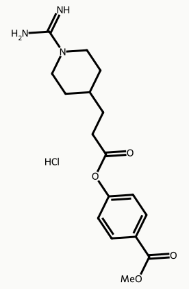 COC(=O)c1ccc(OC(=O)CCC2CCN(C(=N)N)CC2)cc1.Cl